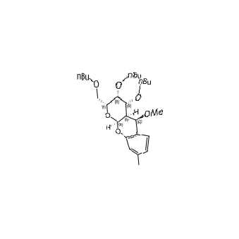 CCCCOC[C@H]1O[C@@H]2Oc3cc(C)ccc3[C@H](OC)[C@@H]2[C@@H](OCCCC)[C@H]1OCCCC